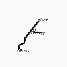 CCCCCC#CCC#CCC#CCCCCCC(CCCCCCCCCCCCCCCCCC)OC(=O)CCCCN(C)C